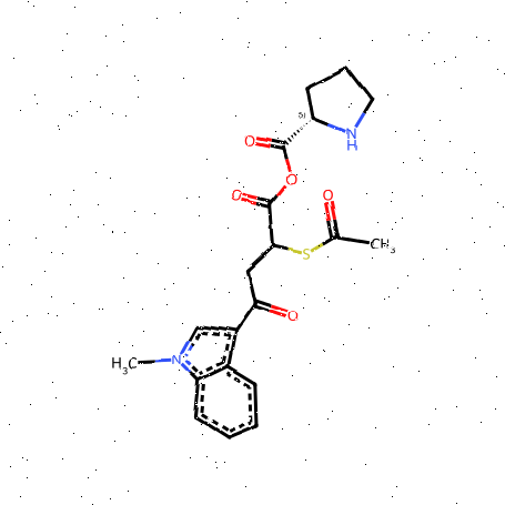 CC(=O)SC(CC(=O)c1cn(C)c2ccccc12)C(=O)OC(=O)[C@@H]1CCCN1